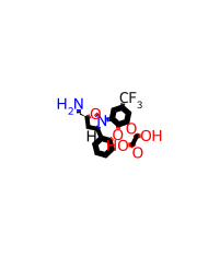 NC[C@H]1C[C@@H]2c3ccccc3Oc3ccc(C(F)(F)F)cc3N2O1.O=C(O)C(=O)O